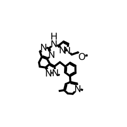 COCCn1ccc(Nc2ncc3c(n2)-c2c(nn(C)c2Cc2cccc(C4=CN(C)CCC(C)=C4)c2)CC3)n1